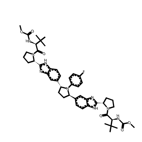 COC(=O)N[C@H](C(=O)N1CCC[C@H]1c1nc2cc([C@H]3CC[C@H](c4ccc5[nH]c([C@@H]6CCCN6C(=O)[C@@H](NC(=O)OC)C(C)(C)C)nc5c4)N3c3ccc(F)cc3)ccc2[nH]1)C(C)(C)C